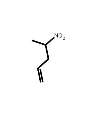 C=CCC(C)[N+](=O)[O-]